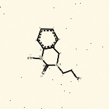 CC(C)CCN1Cc2ccccc2N(C(C)C)C1=O